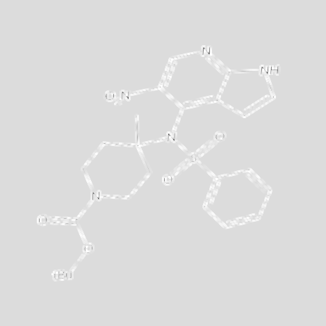 CC(C)(C)OC(=O)N1CCC(C)(N(c2c([N+](=O)[O-])cnc3[nH]ccc23)S(=O)(=O)c2ccccc2)CC1